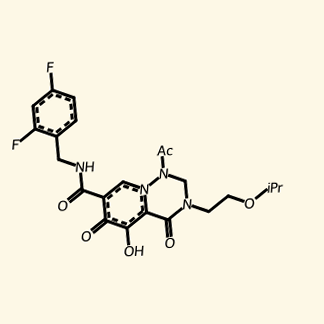 CC(=O)N1CN(CCOC(C)C)C(=O)c2c(O)c(=O)c(C(=O)NCc3ccc(F)cc3F)cn21